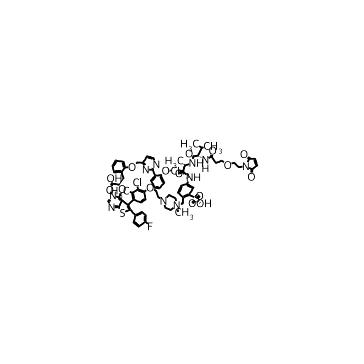 COc1ccccc1-c1nccc(COc2ccccc2C[C@@H](Oc2ncnc3sc(-c4ccc(F)cc4)c(-c4ccc(OCCN5CC[N+](C)(Cc6ccc(NC(=O)[C@H](C)NC(=O)[C@@H](NC(=O)CCOCCN7C(=O)C=CC7=O)C(C)C)cc6S(=O)(=O)O)CC5)c(Cl)c4C)c23)C(=O)O)n1